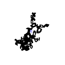 C=CCOC(=O)N1C[C@@H](O[Si](C)(C)C(C)(C)C)C[C@H]1/C=C(\C)C1=C(C(=O)O)N2C(=O)[C@H]([C@@](C)(O[SiH](C)C)C(C)(C)C)[C@H]2C1